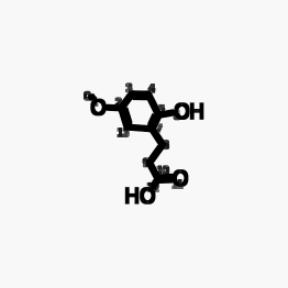 COc1ccc(O)c(CCC(=O)O)c1